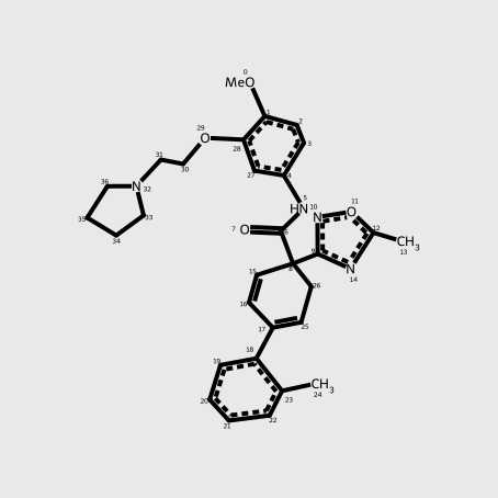 COc1ccc(NC(=O)C2(c3noc(C)n3)C=CC(c3ccccc3C)=CC2)cc1OCCN1CCCC1